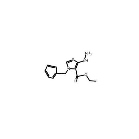 CCOC(=O)c1c(NN)ncn1Cc1ccccc1